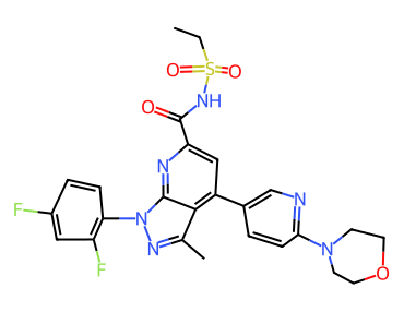 CCS(=O)(=O)NC(=O)c1cc(-c2ccc(N3CCOCC3)nc2)c2c(C)nn(-c3ccc(F)cc3F)c2n1